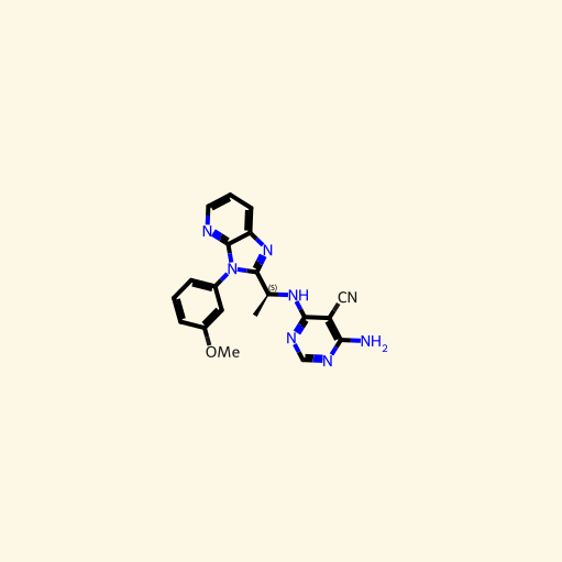 COc1cccc(-n2c([C@H](C)Nc3ncnc(N)c3C#N)nc3cccnc32)c1